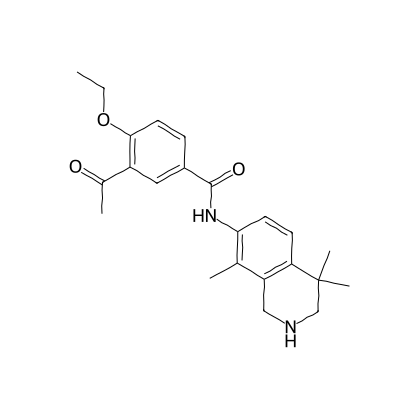 CCOc1ccc(C(=O)Nc2ccc3c(c2C)CNCC3(C)C)cc1C(C)=O